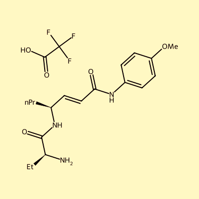 CCC[C@@H](/C=C/C(=O)Nc1ccc(OC)cc1)NC(=O)[C@@H](N)CC.O=C(O)C(F)(F)F